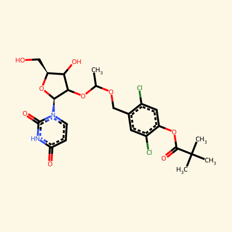 CC(OCc1cc(Cl)c(OC(=O)C(C)(C)C)cc1Cl)OC1C(O)[C@H](CO)O[C@@H]1n1ccc(=O)[nH]c1=O